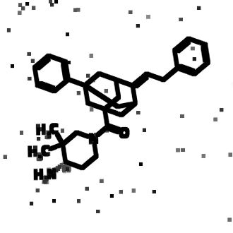 CC1(C)CN(C(=O)C23CC4CC(c5ccccc5)(CC(C2)C4=CCc2ccccc2)C3)CC[C@@H]1N